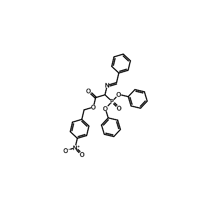 O=C(OCc1ccc([N+](=O)[O-])cc1)C(N=Cc1ccccc1)P(=O)(Oc1ccccc1)Oc1ccccc1